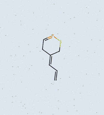 C=C/C=C1/CC=PSC1